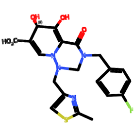 Cc1nc(CN2CN(Cc3ccc(F)cc3)C(=O)C3=C(O)[C@H](O)C(C(=O)O)=CN32)cs1